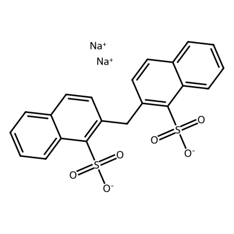 O=S(=O)([O-])c1c(Cc2ccc3ccccc3c2S(=O)(=O)[O-])ccc2ccccc12.[Na+].[Na+]